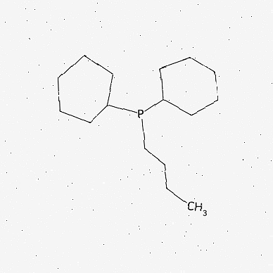 CCCCP(C1CCCCC1)C1CCCCC1